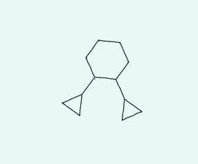 C1CCC(C2CC2)[C](C2CC2)C1